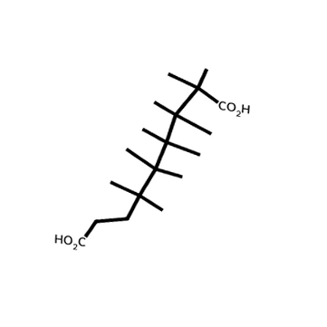 CC(C)(CCC(=O)O)C(C)(C)C(C)(C)C(C)(C)C(C)(C)C(=O)O